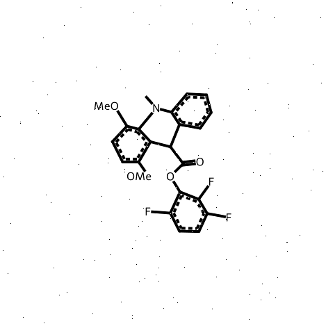 COc1ccc(OC)c2c1C(C(=O)Oc1c(F)ccc(F)c1F)c1ccccc1N2C